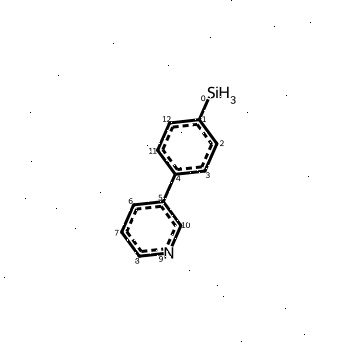 [SiH3]c1ccc(-c2cccnc2)cc1